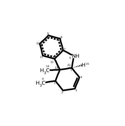 CC1CC=C[C@@H]2Nc3ccccc3C12C